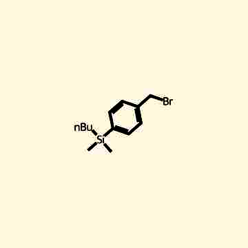 CCCC[Si](C)(C)c1ccc(CBr)cc1